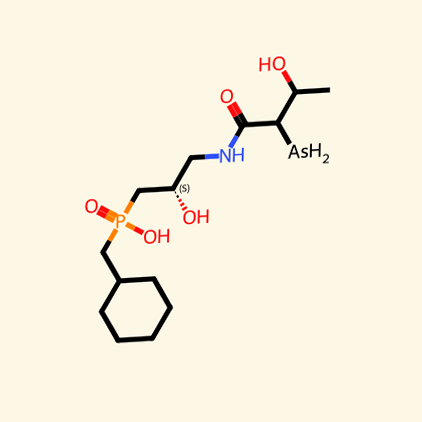 CC(O)C([AsH2])C(=O)NC[C@H](O)CP(=O)(O)CC1CCCCC1